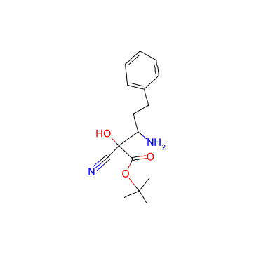 CC(C)(C)OC(=O)C(O)(C#N)C(N)CCc1ccccc1